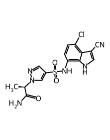 C[C@H](C(N)=O)n1cc(S(=O)(=O)Nc2ccc(Cl)c3c(C#N)c[nH]c23)cn1